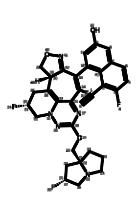 C#Cc1c(F)ccc2cc(O)cc(C3=C(F)C4=NC(OC[C@@]56CCCN5C[C@H](F)C6)=NN5C[C@H](F)CC(=C45)[C@@H]4CON=C34)c12